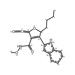 CCCCC1OC(=C=O)C(C(=O)NOC)=C1c1cc2ccccc2[nH]1